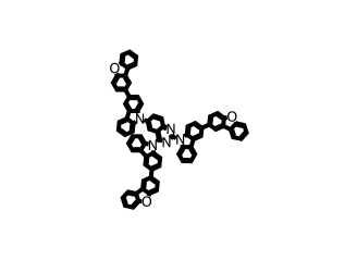 c1ccc2c(c1)oc1ccc(-c3ccc4c(c3)c3ccccc3n4-c3ccc4nc(-n5c6ccccc6c6cc(-c7ccc8oc9ccccc9c8c7)ccc65)nc(-n5c6ccccc6c6cc(-c7ccc8oc9ccccc9c8c7)ccc65)c4c3)cc12